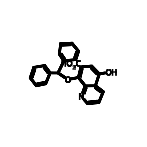 O=C(O)c1cc(O)c2cccnc2c1OC(c1ccccc1)c1ccccc1